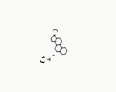 CC(=O)O[C@H]1CC[C@@]2(C)[C@H](C1)[C@H](COC(=S)n1ccnc1)C[C@@H]1[C@@H]2CC[C@@]2(C)[C@H]1CCC21OCCO1